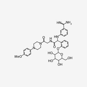 COc1ccc(N2CCN(C(=O)CNC(=O)C(Nc3cccc(C(=N)N)c3)c3ccccc3OC3OC(CO)C(O)C(O)C3O)CC2)cc1